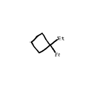 CCC1(CC)C[CH]C1